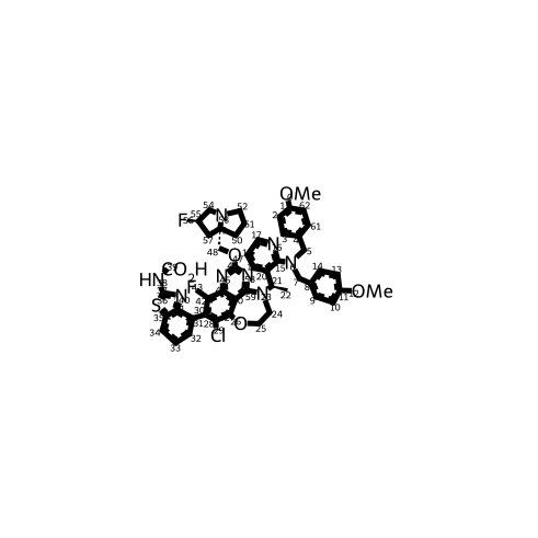 COc1ccc(CN(Cc2ccc(OC)cc2)c2ncccc2[C@@H](C)N2CCOc3c(Cl)c(-c4cccc5sc(NC(=O)O)nc45)c(F)c4nc(OC[C@@]56CCCN5C[C@H](F)C6)nc2c34)cc1